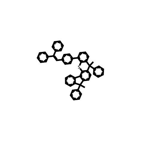 CC1(c2ccccc2)c2cccc(-c3ccc(C=C(c4ccccc4)c4ccccc4)cc3)c2Sc2c1ccc1c2-c2ccccc2C1(C)c1ccccc1